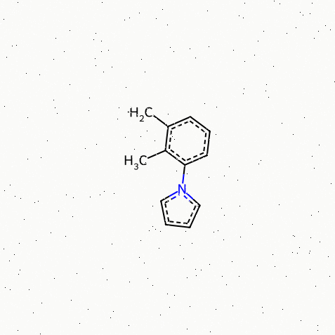 [CH2]c1cccc(-n2cccc2)c1C